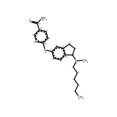 CCCCCCN(C)C1CCc2cc(Oc3ccc(C(N)=O)cn3)ccc21